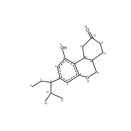 CCC(c1cc(O)c2c(c1)OCC1CCC(=O)CC21)C(C)C